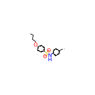 [CH2]c1ccc(NS(=O)(=O)c2ccc(OCCCC)cc2)cc1